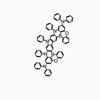 c1ccc(N(c2ccccc2)c2cc3c4c(c2)N(c2ccccc2)c2cc5c(cc2B4c2ccccc2O3)c2cc3c(cc2n5-c2ccccc2)N(c2ccccc2)c2cc(N(c4ccccc4)c4ccccc4)cc4c2B3c2ccccc2O4)cc1